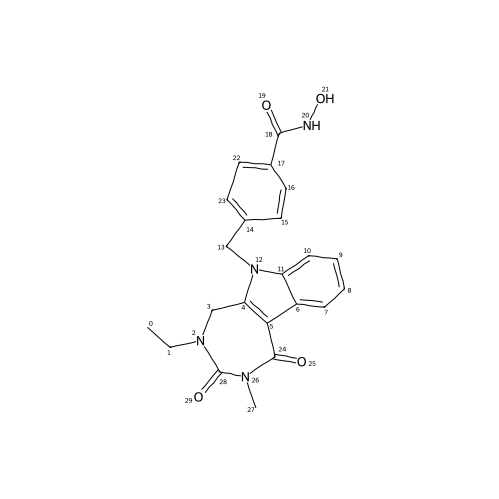 CCN1Cc2c(c3ccccc3n2Cc2ccc(C(=O)NO)cc2)C(=O)N(C)C1=O